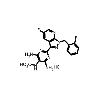 Cl.Nc1nc(-c2nn(Cc3ccccc3F)c3ncc(F)cc23)nc(N)c1NC(=O)O